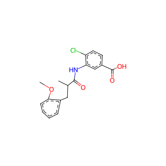 COc1ccccc1CC(C)C(=O)Nc1cc(C(=O)O)ccc1Cl